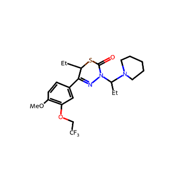 CCC1SC(=O)N(C(CC)N2CCCCC2)N=C1c1ccc(OC)c(OCC(F)(F)F)c1